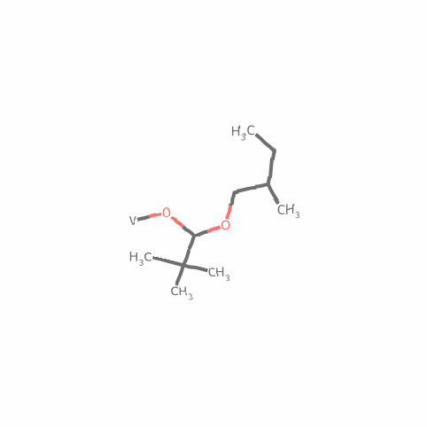 CCC(C)COC([O][V])C(C)(C)C